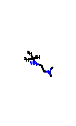 [2H]C([2H])([2H])NCCN(C)C